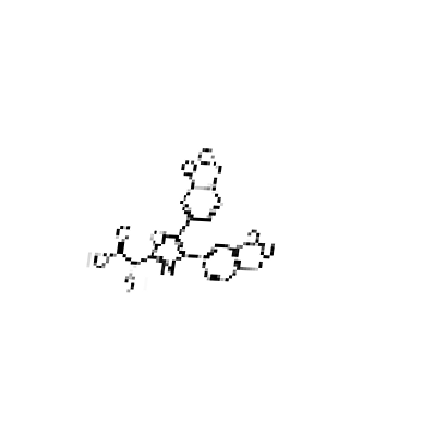 O=C(O)C(S)c1nc(-c2ccc3c(c2)OOC3)c(-c2ccc3c(c2)OOC3)o1